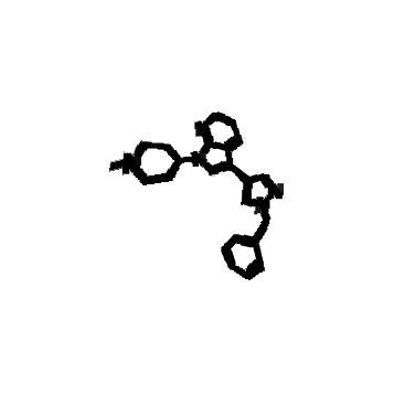 CN1CCC(n2cc(-c3cnn(Cc4ccccc4)c3)c3cccnc32)CC1